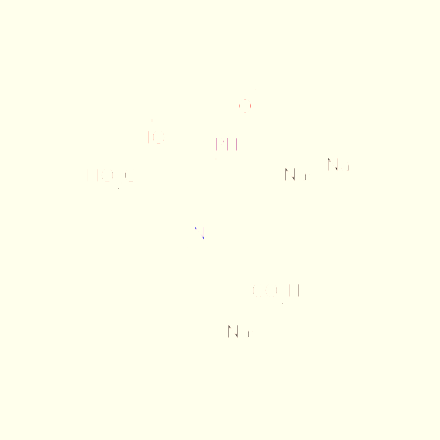 O=C(O)CN(CC(=O)O)C[PH](=O)O.[Na].[Na].[Na]